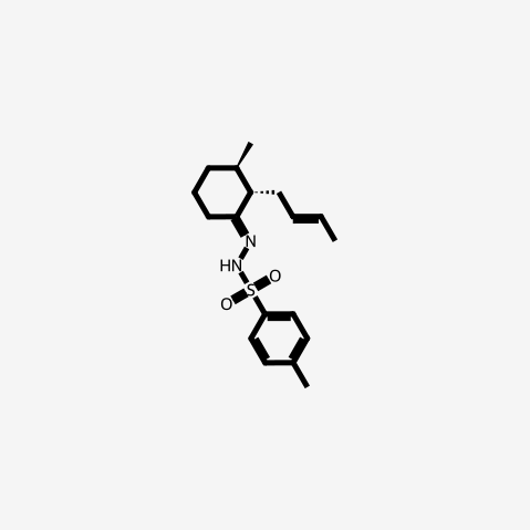 C/C=C/C[C@@H]1/C(=N/NS(=O)(=O)c2ccc(C)cc2)CCC[C@H]1C